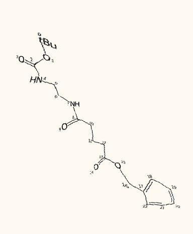 CC(C)(C)OC(=O)NCCNC(=O)CCCC(=O)OCc1ccccc1